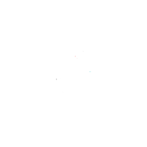 [CH2]C(C)c1ccc(OC(C)C)c(F)c1